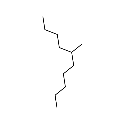 CCCC[C]C(C)CCCC